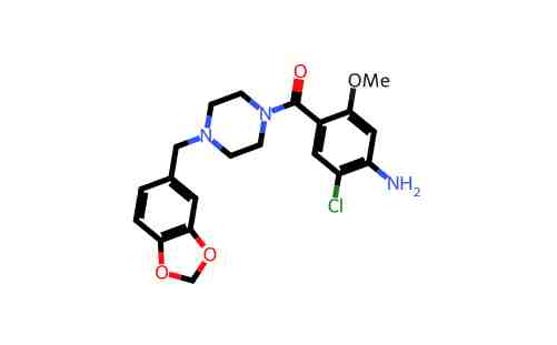 COc1cc(N)c(Cl)cc1C(=O)N1CCN(Cc2ccc3c(c2)OCO3)CC1